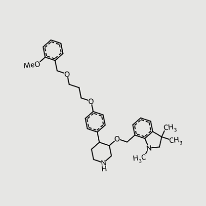 COc1ccccc1COCCCOc1ccc(C2CCNCC2OCc2cccc3c2N(C)CC3(C)C)cc1